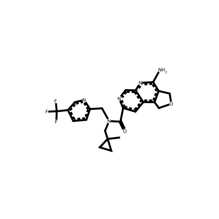 CC1(CN(Cc2ccc(C(F)(F)F)cn2)C(=O)c2cc3c4c(c(N)nc3cn2)COC4)CC1